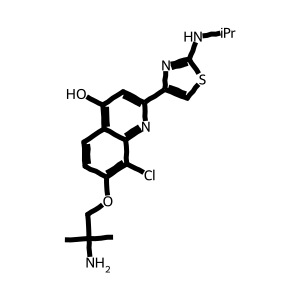 CC(C)Nc1nc(-c2cc(O)c3ccc(OCC(C)(C)N)c(Cl)c3n2)cs1